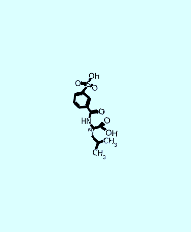 CC(C)C[C@H](NC(=O)c1cccc(S(=O)(=O)O)c1)C(=O)O